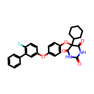 O=C1NC(=O)C(Oc2ccc(Oc3ccc(F)c(-c4ccccc4)c3)cc2)(C2CCCCC2)C(=O)N1